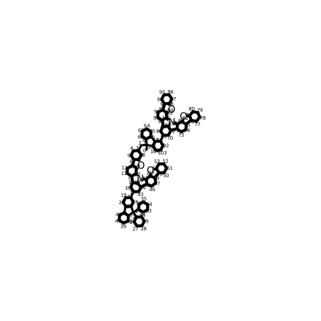 CC1(Cc2ccc3c(c2)oc2c3ccc3c4cc(-c5ccc6c(c5)C(c5ccccc5)(c5ccccc5)c5ccccc5-6)cc5c6ccc7c8ccccc8oc7c6n(c54)c32)c2ccccc2-c2c(-c3cc4c5ccc6c7ccccc7oc6c5n5c4c(c3)c3ccc4c6ccccc6oc4c35)cccc21